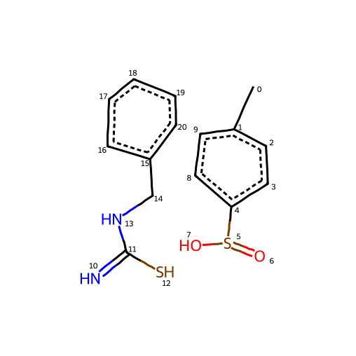 Cc1ccc(S(=O)O)cc1.N=C(S)NCc1ccccc1